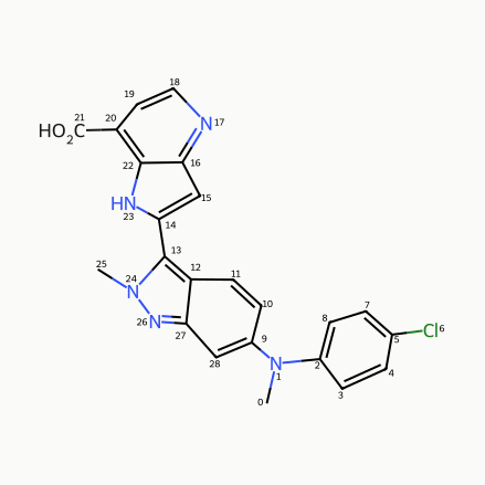 CN(c1ccc(Cl)cc1)c1ccc2c(-c3cc4nccc(C(=O)O)c4[nH]3)n(C)nc2c1